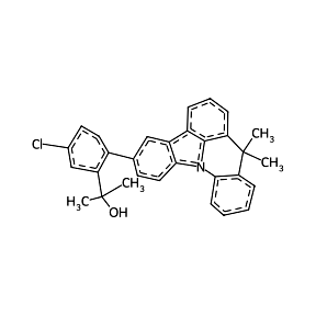 CC(C)(O)c1cc(Cl)ccc1-c1ccc2c(c1)c1cccc3c1n2-c1ccccc1C3(C)C